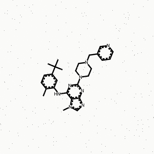 Cc1ccc(C(C)(C)C)cc1Nc1nc(N2CCN(Cc3cccnc3)CC2)nc2ncn(C)c12